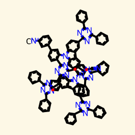 [C-]#[N+]c1cccc(-c2ccc(-c3nc(-c4ccccc4)nc(-c4ccc(C#N)cc4-n4c5ccc(-c6nc(-c7ccccc7)nc(-c7ccccc7)n6)cc5c5cc(-c6nc(-c7ccccc7)nc(-c7ccccc7)n6)ccc54)n3)c(-n3c4ccc(-c5nc(-c6ccccc6)nc(-c6ccccc6)n5)cc4c4cc(-c5nc(-c6ccccc6)nc(-c6ccccc6)n5)ccc43)c2)c1